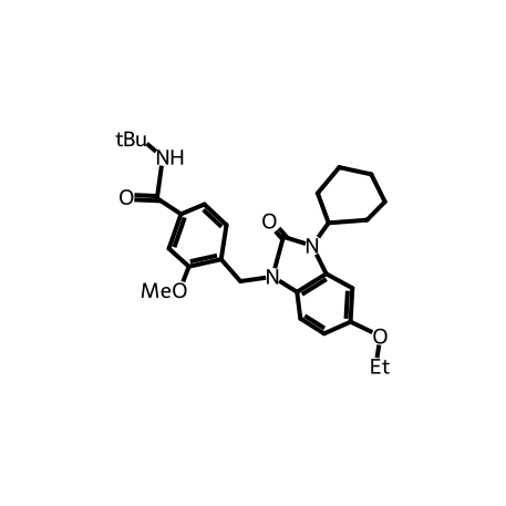 CCOc1ccc2c(c1)n(C1CCCCC1)c(=O)n2Cc1ccc(C(=O)NC(C)(C)C)cc1OC